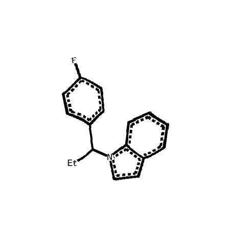 CCC(c1ccc(F)cc1)n1ccc2ccccc21